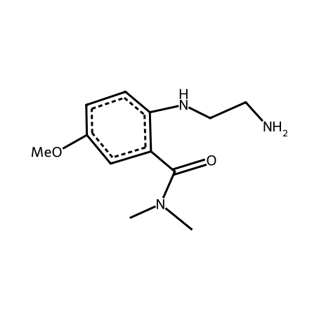 COc1ccc(NCCN)c(C(=O)N(C)C)c1